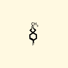 CN1CC2(CC=C(F)CC2)C1